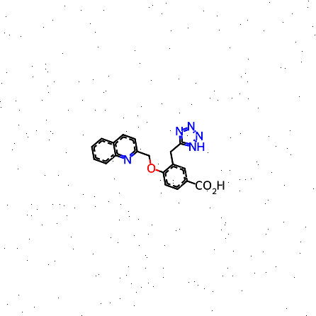 O=C(O)c1ccc(OCc2ccc3ccccc3n2)c(Cc2nnn[nH]2)c1